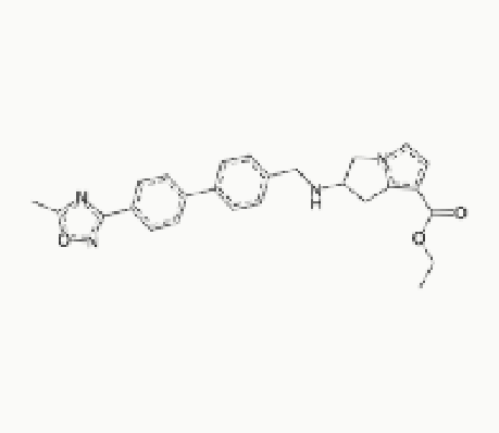 CCOC(=O)c1ccn2c1CC(NCc1ccc(-c3ccc(-c4noc(C)n4)cc3)cc1)C2